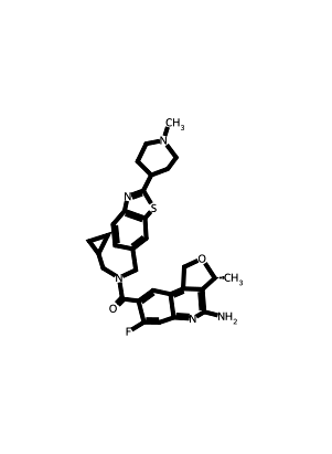 C[C@H]1OCc2c1c(N)nc1cc(F)c(C(=O)N(Cc3ccc4nc(C5CCN(C)CC5)sc4c3)CC3CC3)cc21